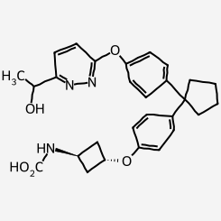 CC(O)c1ccc(Oc2ccc(C3(c4ccc(O[C@H]5C[C@H](NC(=O)O)C5)cc4)CCCC3)cc2)nn1